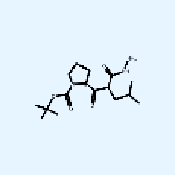 CC(C)CC(C(=O)NN)C(=O)[C@@H]1CCCN1C(=O)OC(C)(C)C